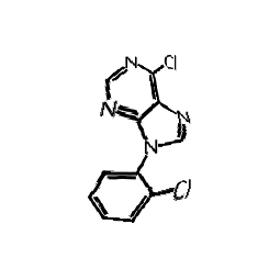 Clc1ccccc1-n1cnc2c(Cl)ncnc21